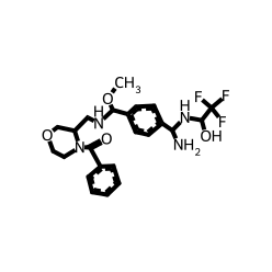 COC(NCC1COCCN1C(=O)c1ccccc1)c1ccc(C(N)NC(O)C(F)(F)F)cc1